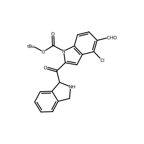 CC(C)(C)OC(=O)n1c(C(=O)C2NCc3ccccc32)cc2c(Cl)c(C=O)ccc21